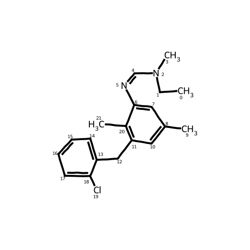 CCN(C)/C=N\c1cc(C)cc(Cc2ccccc2Cl)c1C